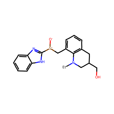 CCN1CC(CO)Cc2cccc(C[S+]([O-])c3nc4ccccc4[nH]3)c21